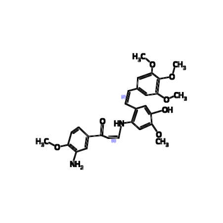 COc1ccc(C(=O)/C=C\Nc2cc(OC)c(O)cc2/C=C\c2cc(OC)c(OC)c(OC)c2)cc1N